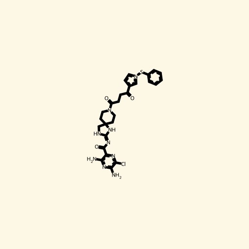 Nc1nc(N)c(C(=O)/N=C2\NCC3(CCN(C(=O)CCC(=O)c4ccn(Sc5ccccc5)c4)CC3)N2)nc1Cl